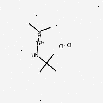 C[SiH](C)[Ti+2][NH]C(C)(C)C.[Cl-].[Cl-]